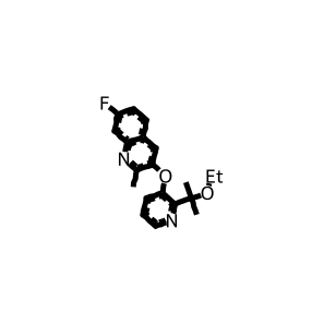 CCOC(C)(C)c1ncccc1Oc1cc2ccc(F)cc2nc1C